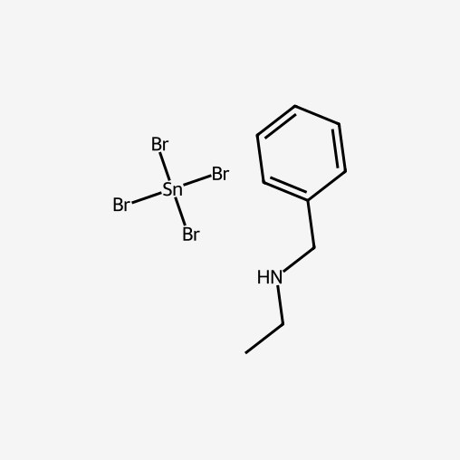 CCNCc1ccccc1.[Br][Sn]([Br])([Br])[Br]